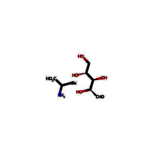 CCC(C)C(N)C(=O)O.O=C[C@H](O)[C@H](O)[C@H](O)CO